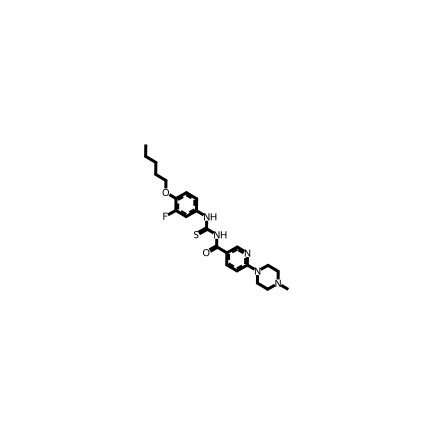 CCCCCOc1ccc(NC(=S)NC(=O)c2ccc(N3CCN(C)CC3)nc2)cc1F